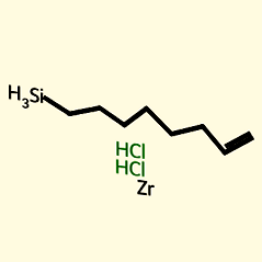 C=CCCCCCC[SiH3].Cl.Cl.[Zr]